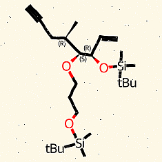 C#CC[C@@H](C)[C@H](OCCCO[Si](C)(C)C(C)(C)C)[C@@H](C=C)O[Si](C)(C)C(C)(C)C